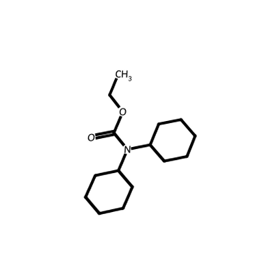 CCOC(=O)N(C1CCCCC1)C1CCCCC1